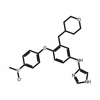 C[S+]([O-])c1ccc(Oc2ccc(Nc3c[nH]cn3)cc2CC2CCOCC2)cc1